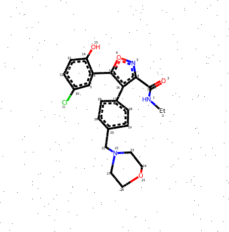 CCNC(=O)c1noc(-c2cc(Cl)ccc2O)c1-c1ccc(CN2CCOCC2)cc1